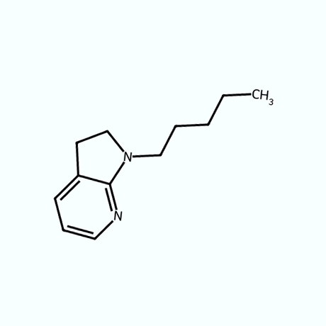 CCCCCN1CCc2cccnc21